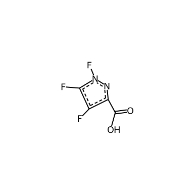 O=C(O)c1nn(F)c(F)c1F